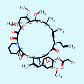 C=CC[C@@H]1/C=C(\C)C[C@H](C)C[C@H](OC)[C@H]2O[C@@](O)(C(=O)C(=O)N3CCCC[C@H]3C(=O)O[C@H](/C(C)=C\C3CC[C@@H](OC(=O)CBr)[C@H](OC)C3)[C@H](C)[C@@H](O)CC1=O)[C@H](C)C[C@@H]2OC